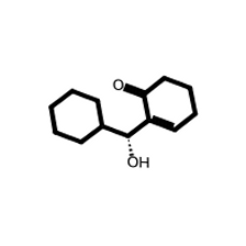 O=C1CCCC=C1[C@H](O)C1CCCCC1